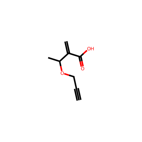 C#CCOC(C)C(=C)C(=O)O